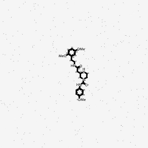 COc1ccc(NC(=O)N2CCNC(CC(=O)NCCc3cc(OC)ccc3OC)C2)cc1